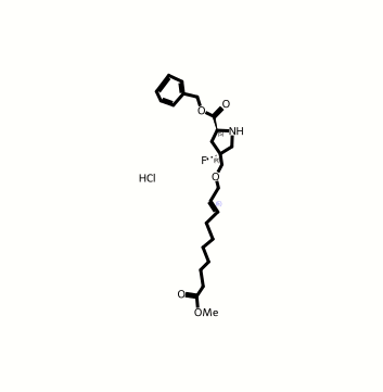 COC(=O)CCCCCC/C=C/COC[C@]1(F)CN[C@H](C(=O)OCc2ccccc2)C1.Cl